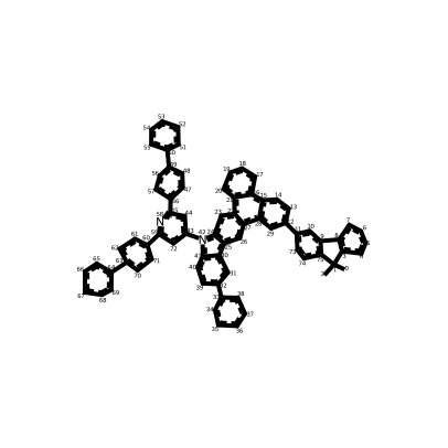 CC1(C)c2ccccc2-c2cc(-c3ccc4c5ccccc5c5cc6c(cc5c4c3)c3cc(-c4ccccc4)ccc3n6-c3cc(-c4ccc(-c5ccccc5)cc4)nc(-c4ccc(-c5ccccc5)cc4)c3)ccc21